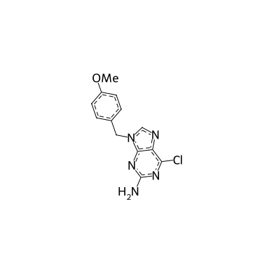 COc1ccc(Cn2cnc3c(Cl)nc(N)nc32)cc1